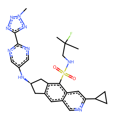 Cn1nnc(-c2ncc(N[C@@H]3Cc4cc5cnc(C6CC6)cc5c(S(=O)(=O)NCC(C)(C)F)c4C3)cn2)n1